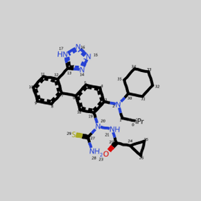 CC(C)CN(c1ccc(-c2ccccc2-c2nnn[nH]2)cc1N(NC(=O)C1CC1)C(N)=S)C1CCCCC1